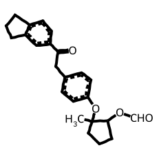 CC1(Oc2ccc(CC(=O)c3ccc4c(c3)CCC4)cc2)CCCC1OC=O